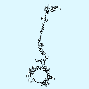 CO[C@H]1C[C@@H]2CC[C@@H](C)[C@@](O)(O2)C(=O)C(=O)N2CCCC[C@H]2C(=O)O[C@H]([C@H](C)C[C@@H]2CC[C@@H](OCc3cccc(-c4cnc(N5CCN(CC6=CN(CCOCCOCCOCCOCCOCCC(=O)NCCCCn7nc(-c8ccc9oc(N)nc9c8)c8c(N)ncnc87)NN6)CC5)nc4)c3)[C@H](OC)C2)CC(=O)[C@H](C)/C=C(\C)[C@@H](O)[C@@H](O)C(=O)[C@H](C)C[C@H](C)/C=C/C=C/C=C/1C